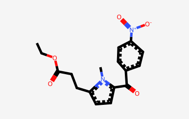 CCOC(=O)CCc1ccc(C(=O)c2ccc([N+](=O)[O-])cc2)n1C